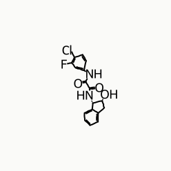 O=C(Nc1ccc(Cl)c(F)c1)C(=O)N[C@H]1c2ccccc2C[C@H]1O